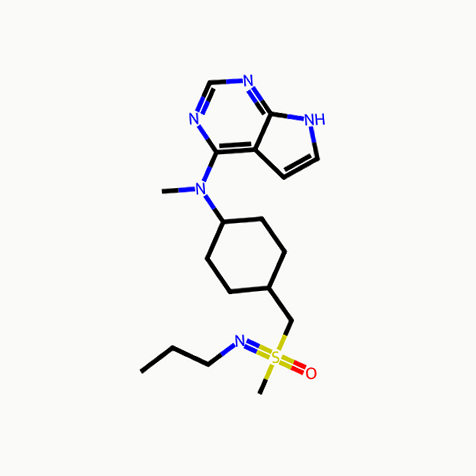 CCCN=S(C)(=O)CC1CCC(N(C)c2ncnc3[nH]ccc23)CC1